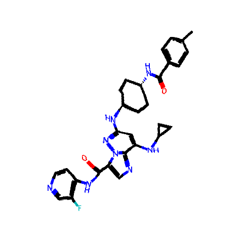 Cc1ccc(C(=O)N[C@H]2CC[C@H](Nc3cc(NC4CC4)c4ncc(C(=O)Nc5ccncc5F)n4n3)CC2)cc1